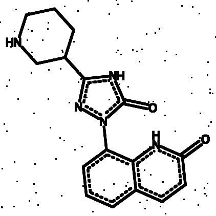 O=c1ccc2cccc(-n3nc(C4CCCNC4)[nH]c3=O)c2[nH]1